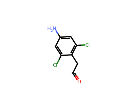 Nc1cc(Cl)c(C[C]=O)c(Cl)c1